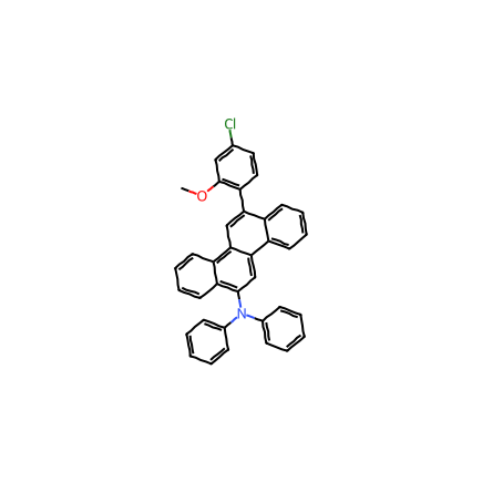 COc1cc(Cl)ccc1-c1cc2c3ccccc3c(N(c3ccccc3)c3ccccc3)cc2c2ccccc12